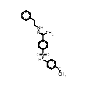 COc1ccc(NS(=O)(=O)c2ccc(C(C)=NNCCc3ccccc3)cc2)cc1